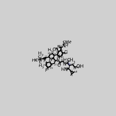 CSNc1nn(C)c2c(-c3ccc(C#CC(C)(C)O)nc3C(Cc3cc(F)cc(F)c3)NC(=O)CN/C(C)=C(/CCO)C(=N)C3CC3)ccc(Cl)c12